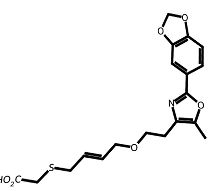 Cc1oc(-c2ccc3c(c2)OCO3)nc1CCOCC=CCSCC(=O)O